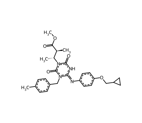 COC(=O)[C@@H](C)[C@@H](C)n1c(=O)[nH]/c(=N\c2ccc(OCC3CC3)cc2)n(Cc2ccc(C)cc2)c1=O